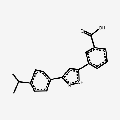 CC(C)c1ccc(-c2cc(-c3cccc(C(=O)O)c3)[nH]n2)cc1